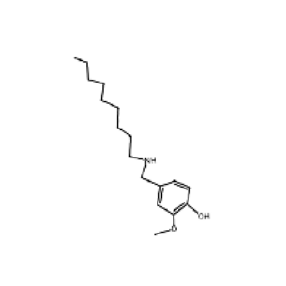 CCCCCCCCCNCc1ccc(O)c(OC)c1